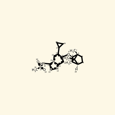 CC1(C)[C@H]2CC[C@@]1(C)[C@H](Oc1cc3nnc(NS(C)(=O)=O)n3cc1C1CC1)C2